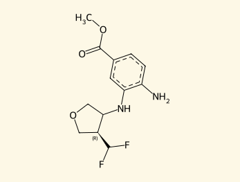 COC(=O)c1ccc(N)c(NC2COC[C@@H]2C(F)F)c1